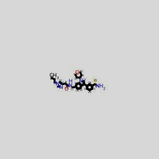 CCCCn1cnc(CC(=O)NCc2ccc3c(-c4cccc(C(N)=S)c4)cn(C4CCOCC4)c3c2)c1